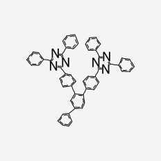 c1ccc(-c2ccc(-c3ccc(-c4nc(-c5ccccc5)nc(-c5ccccc5)n4)cc3)c(-c3ccc(-c4nc(-c5ccccc5)nc(-c5ccccc5)n4)cc3)c2)cc1